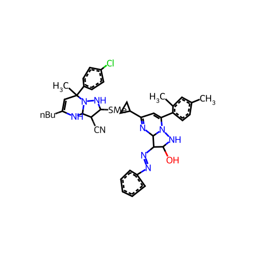 CCCCC1=CC(C)(c2ccc(Cl)cc2)N2NC(SC)C(C#N)C2N1.Cc1ccc(C2=CC(C3CC3)=NC3C(N=Nc4ccccc4)C(O)NN23)c(C)c1